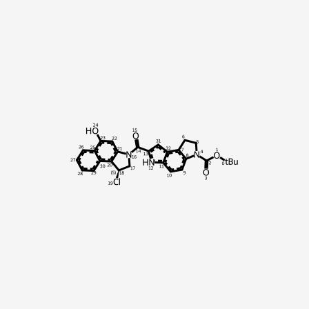 CC(C)(C)OC(=O)N1CCc2c1ccc1[nH]c(C(=O)N3C[C@@H](Cl)c4c3cc(O)c3ccccc43)cc21